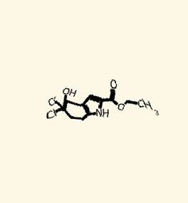 CCOC(=O)c1cc2c([nH]1)CCC(Cl)(Cl)C2O